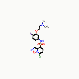 CN(C)CCOc1cc(NS(=O)(=O)C2=CC=C(Cl)N3ONC=C23)ccc1I